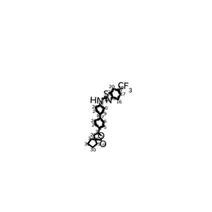 O=C1OC(c2ccc(-c3ccc(Nc4nc5ccc(C(F)(F)F)cc5s4)cc3)cc2)CC12CCCC2